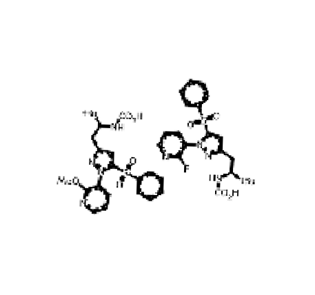 CC(C)(C)C(Cc1cc(S(=O)(=O)c2ccccc2)n(-c2cccnc2F)n1)NC(=O)O.COc1ncccc1-n1nc(CC(NC(=O)O)C(C)(C)C)cc1S(=O)(=O)c1ccccc1